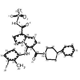 CCS(=O)(=O)NC(=O)c1cnn2c(Nc3cccc(F)c3C)c(C(=O)N3CCC(c4ccccc4)CC3)cnc12